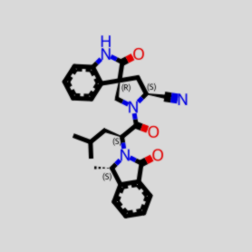 CC(C)C[C@@H](C(=O)N1C[C@]2(C[C@H]1C#N)C(=O)Nc1ccccc12)N1C(=O)c2ccccc2[C@@H]1C